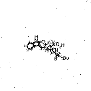 CN(C(=O)[C@H](CCCCC(=O)OC(C)(C)C)Cc1c[nH]c2ccccc12)C(C)(C)C(=O)O